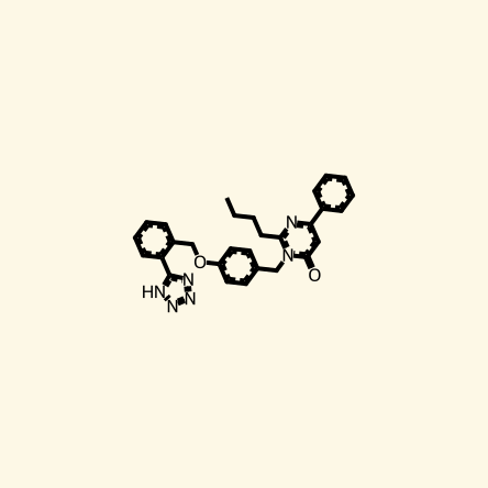 CCCCc1nc(-c2ccccc2)cc(=O)n1Cc1ccc(OCc2ccccc2-c2nnn[nH]2)cc1